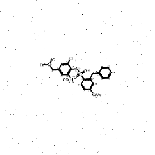 CCN(CC)Cc1cc(C)c(NS(=O)(=O)c2ccc(OC)cc2Cc2ccccc2)c(C(=O)O)c1